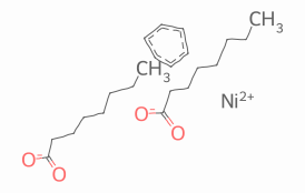 CCCCCCCC(=O)[O-].CCCCCCCC(=O)[O-].[Ni+2].c1ccccc1